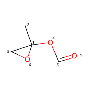 CC1(O[C]=O)CO1